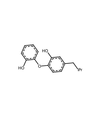 CC(C)Cc1ccc(Oc2ccccc2O)c(O)c1